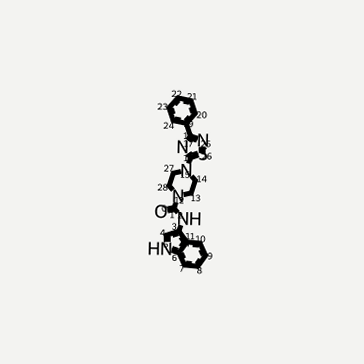 O=C(Nc1c[nH]c2ccccc12)N1CCN(c2nc(-c3ccccc3)ns2)CC1